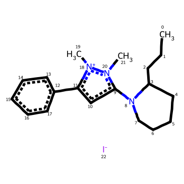 CCCC1CCCCN1c1cc(-c2ccccc2)[n+](C)n1C.[I-]